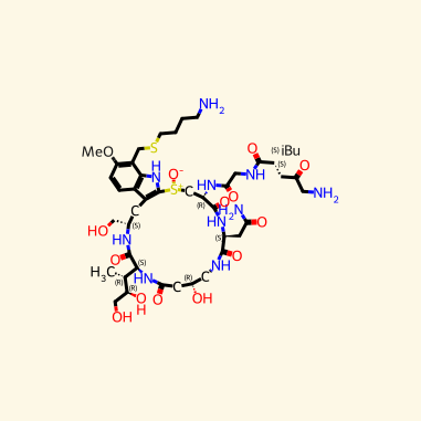 CC[C@H](C)[C@H](CC(=O)CN)C(=O)NCC(=O)N[C@H]1C[S+]([O-])c2[nH]c3c(CSCCCCN)c(OC)ccc3c2C[C@@H](CO)NC(=O)[C@H]([C@@H](C)[C@@H](O)CO)NC(=O)C[C@@H](O)CNC(=O)[C@H](CC(N)=O)NC1=O